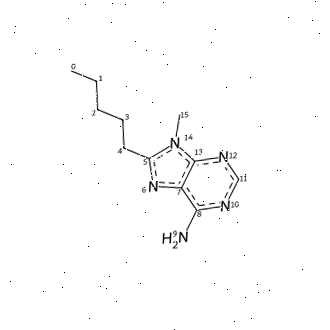 CCCCCc1nc2c(N)ncnc2n1C